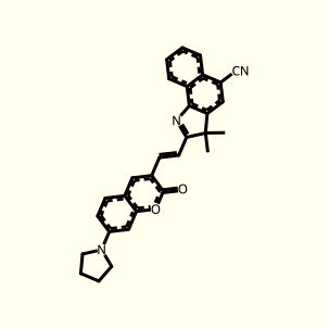 CC1(C)C(/C=C/c2cc3ccc(N4CCCC4)cc3oc2=O)=Nc2c1cc(C#N)c1ccccc21